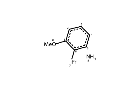 COc1ccccc1C(C)C.N